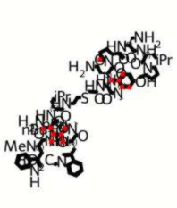 CCCC[C@@H](C(=O)N(C)[C@@H](CCCC)C(=O)N[C@@H](CC(C)C)C(=O)NCCSCC(=O)N[C@@H](Cc1ccc(O)cc1)C(=O)N(C)[C@@H](C)C(=O)N[C@@H](CC(N)=O)C(=O)N1CCCC1C(=O)N[C@@H](CN)C(=O)N[C@@H](CC(C)C)C(=O)N1CCCC1C)N(C)C(=O)[C@H](Cc1cn(CC(=O)O)c2ccccc12)NC(=O)[C@H](CCN)NC(=O)[C@H](Cc1c[nH]c2ccccc12)NC